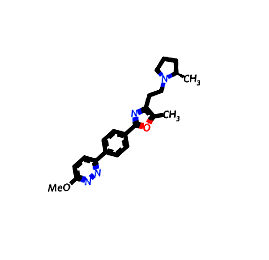 COc1ccc(-c2ccc(-c3nc(CCN4CCC[C@H]4C)c(C)o3)cc2)nn1